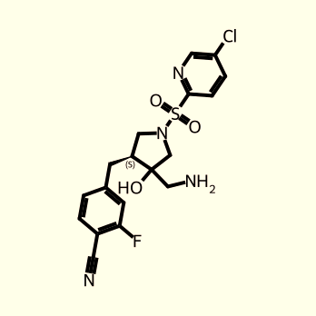 N#Cc1ccc(C[C@H]2CN(S(=O)(=O)c3ccc(Cl)cn3)CC2(O)CN)cc1F